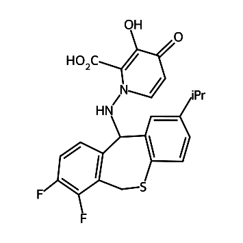 CC(C)c1ccc2c(c1)C(Nn1ccc(=O)c(O)c1C(=O)O)c1ccc(F)c(F)c1CS2